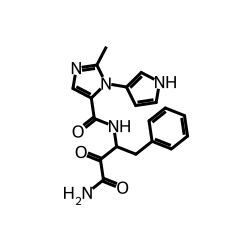 Cc1ncc(C(=O)NC(Cc2ccccc2)C(=O)C(N)=O)n1-c1cc[nH]c1